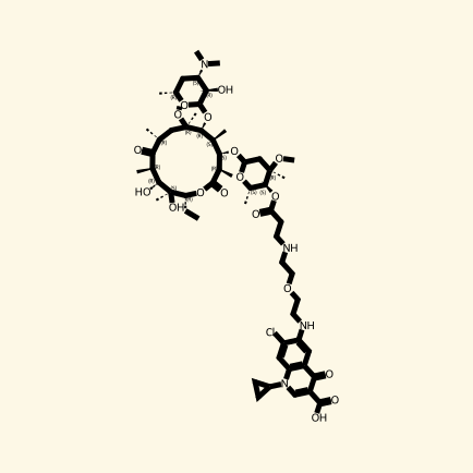 CC[C@H]1OC(=O)[C@H](C)[C@@H](OC2C[C@@](C)(OC)[C@@H](OC(=O)CCNCCOCCNc3cc4c(=O)c(C(=O)O)cn(C5CC5)c4cc3Cl)[C@H](C)O2)[C@H](C)[C@@H](OC2O[C@H](C)C[C@H](N(C)C)[C@H]2O)[C@](C)(OC)C[C@@H](C)C(=O)[C@H](C)[C@@H](O)[C@]1(C)O